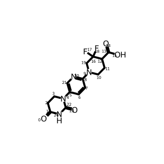 O=C1CCN(c2ccc(N3CCC(C(=O)O)C(F)(F)C3)nc2)C(=O)N1